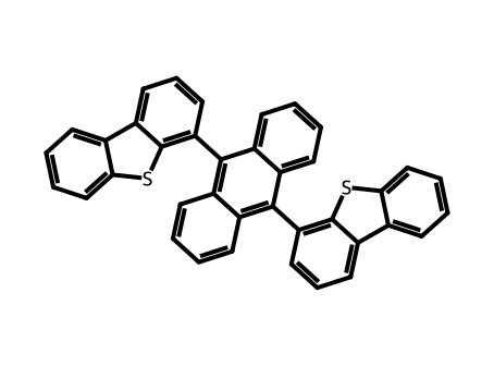 c1ccc2c(c1)sc1c(-c3c4ccccc4c(-c4cccc5c4sc4ccccc45)c4ccccc34)cccc12